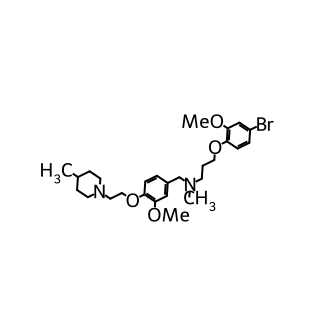 COc1cc(Br)ccc1OCCCN(C)Cc1ccc(OCCN2CCC(C)CC2)c(OC)c1